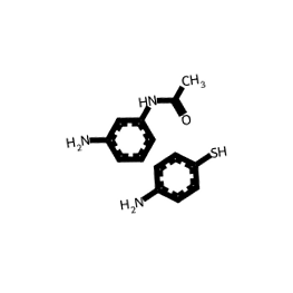 CC(=O)Nc1cccc(N)c1.Nc1ccc(S)cc1